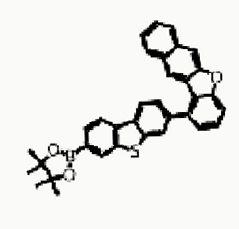 CC1(C)OB(c2ccc3c(c2)sc2cc(-c4cccc5oc6cc7ccccc7cc6c45)ccc23)OC1(C)C